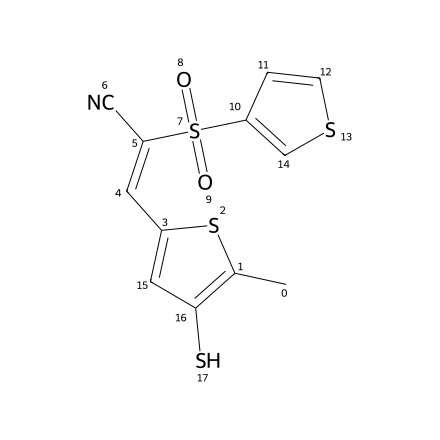 Cc1sc(C=C(C#N)S(=O)(=O)c2ccsc2)cc1S